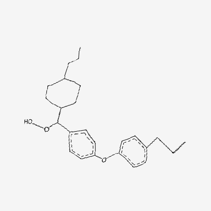 CCCc1ccc(Oc2ccc(C(OO)C3CCC(CCC)CC3)cc2)cc1